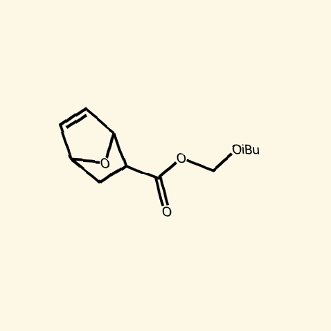 CC(C)COCOC(=O)C1CC2C=CC1O2